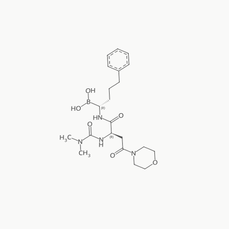 CN(C)C(=O)N[C@H](CC(=O)N1CCOCC1)C(=O)N[C@@H](CCCc1ccccc1)B(O)O